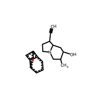 C#CC1CCN2CC(C)C(O)CC12.c1cc2ccc3cc2c3c1